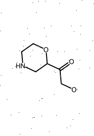 [O]CC(=O)C1CNCCO1